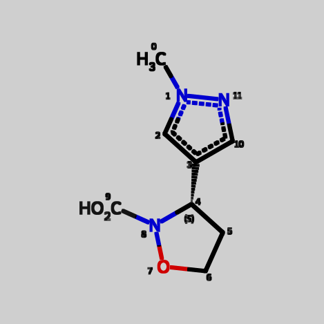 Cn1cc([C@@H]2CCON2C(=O)O)cn1